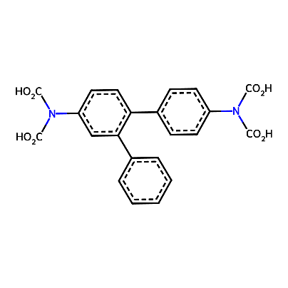 O=C(O)N(C(=O)O)c1ccc(-c2ccc(N(C(=O)O)C(=O)O)cc2-c2ccccc2)cc1